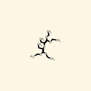 CCOC(OCC)=C(CC)OC(CC)=C(OCC)OCC